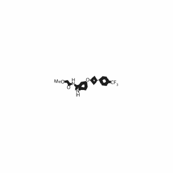 COCC(=O)Nc1c[nH]c2ccc(O[C@H]3C[C@@H](c4ccc(C(F)(F)F)cc4)C3)cc12